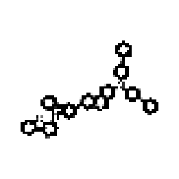 c1ccc(-c2ccc(N(c3ccc(-c4ccccc4)cc3)c3ccc4c(ccc5cc(-c6ccc7c(c6)c6ccccc6n7-c6cccc7c6oc6ccccc67)ccc54)c3)cc2)cc1